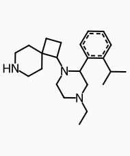 CCN1CCN(C2CCC23CCNCC3)C(c2ccccc2C(C)C)C1